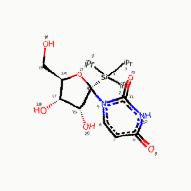 CC(C)[Si](C(C)C)(C(C)C)[C@@]1(n2ccc(=O)[nH]c2=O)O[C@H](CO)[C@@H](O)[C@H]1O